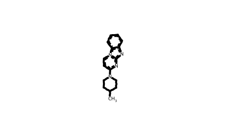 CC1CCN(c2ccn3c(n2)nc2ccccc23)CC1